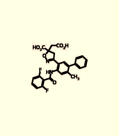 Cc1cc(NC(=O)c2c(F)cccc2F)c(C2=NOC(CC(=O)O)(C(=O)O)C2)cc1-c1ccccc1